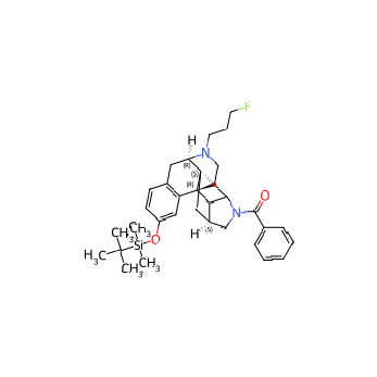 CC(C)(C)[Si](C)(C)Oc1ccc2c(c1)[C@]13CCN(CCCF)[C@H](C2)[C@]12CCC1C3[C@@H](CN1C(=O)c1ccccc1)C2